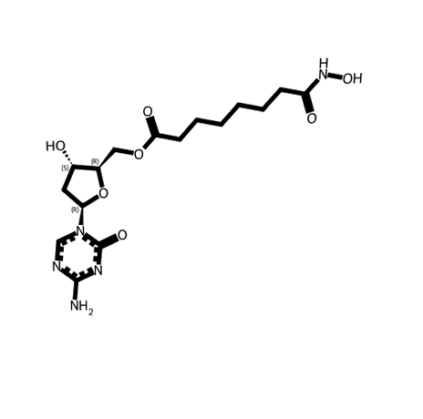 Nc1ncn([C@H]2C[C@H](O)[C@@H](COC(=O)CCCCCCC(=O)NO)O2)c(=O)n1